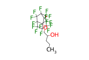 CCCC(O)COC1(F)C2(F)C(F)(F)C3(F)C(F)(F)C(F)(C2(F)F)C(F)(F)C1(F)C3(F)F